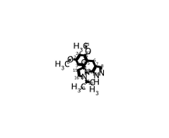 COc1ccc(Cc2cn[nH]c2-n2c(=O)ccn2C(C)C)c(OC)c1